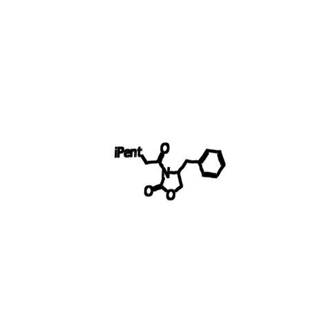 CCCC(C)CC(=O)N1C(=O)OCC1Cc1ccccc1